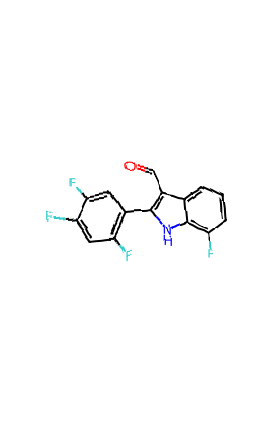 O=Cc1c(-c2cc(F)c(F)cc2F)[nH]c2c(F)cccc12